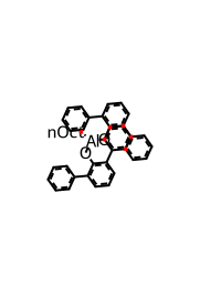 CCCCCCC[CH2][Al]([O]c1c(-c2ccccc2)cccc1-c1ccccc1)[O]c1c(-c2ccccc2)cccc1-c1ccccc1